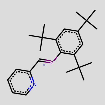 CC(C)(C)c1cc(C(C)(C)C)c(/P=C/c2ccccn2)c(C(C)(C)C)c1